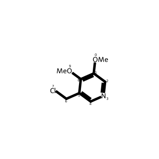 COc1cncc(CCl)c1OC